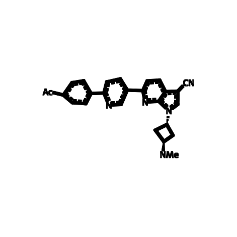 CN[C@H]1C[C@H](n2cc(C#N)c3ccc(-c4ccc(-c5ccc(C(C)=O)cc5)nc4)nc32)C1